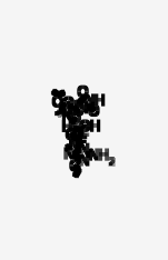 CCOc1nc(N)nc2c1ncn2[C@@H]1O[C@H](COP(=O)(N[C@@H](C)C(=O)OC(C)C)SC[C@H]2NC(=O)NC2=O)[C@@H](O)[C@@]1(C)F